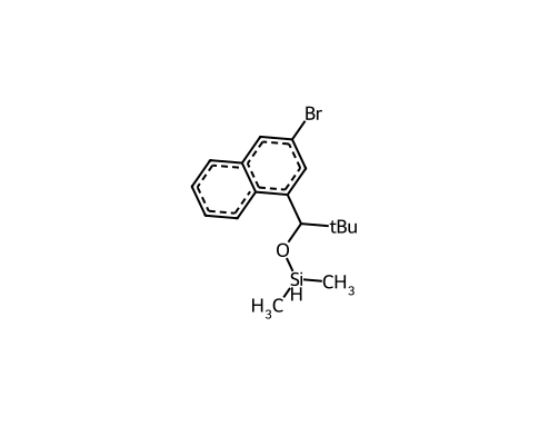 C[SiH](C)OC(c1cc(Br)cc2ccccc12)C(C)(C)C